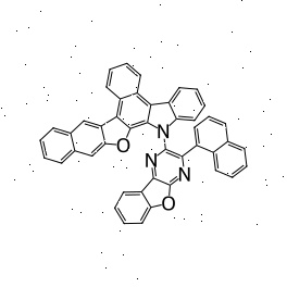 c1ccc2cc3c(cc2c1)oc1c3c2ccccc2c2c3ccccc3n(-c3nc4c(nc3-c3cccc5ccccc35)oc3ccccc34)c12